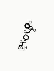 O=C(O)C=CC(=O)OC1CCN(C(=O)Cn2c(=O)sc3c(Cl)cccc32)CC1